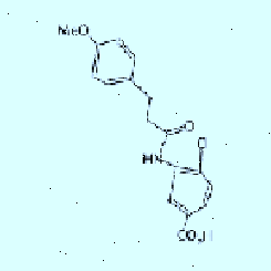 COc1ccc(CCC(=O)Nc2cc(C(=O)O)ccc2Cl)cc1